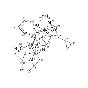 COC(=O)c1cnc(N2C3CC[C@H]2CC(OCc2c(-c4ccccc4C)noc2C2CC2)C3)c(C)c1